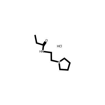 CCC(=O)NCCN1CCCC1.Cl